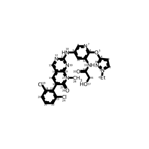 CCn1ccc(Oc2ncc(Nc3ncc4cc(-c5c(Cl)cccc5Cl)c(=O)n(C)c4n3)cc2NC(=O)CO)n1